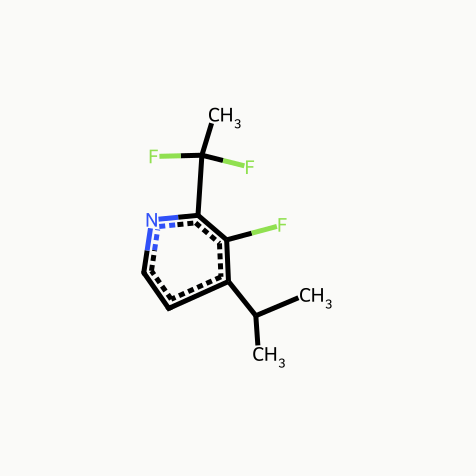 CC(C)c1ccnc(C(C)(F)F)c1F